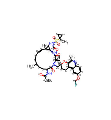 CC(C)COC(=O)N[C@H]1CCC(C)CC/C=C\[C@@H]2C[C@@]2(C(=O)NS(=O)(=O)C2(C)CC2)NC(=O)[C@@H]2C[C@]3(CCc4c(c(C(F)(F)F)nc5ccc(OCF)cc45)O3)CN2C1=O